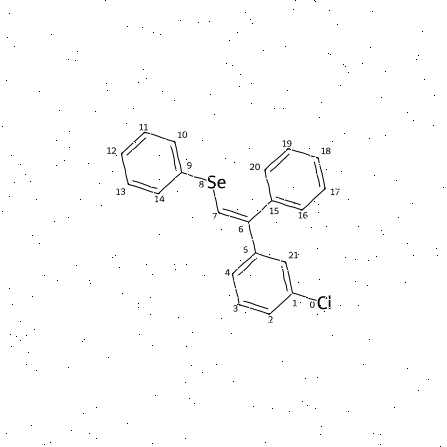 Clc1cccc(C(=C[Se]c2ccccc2)c2ccccc2)c1